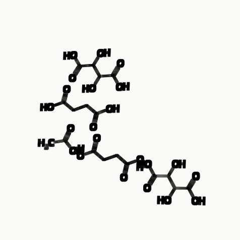 CC(=O)O.O=C(O)C(O)C(O)C(=O)O.O=C(O)C(O)C(O)C(=O)O.O=C(O)CCC(=O)O.O=C(O)CCC(=O)O